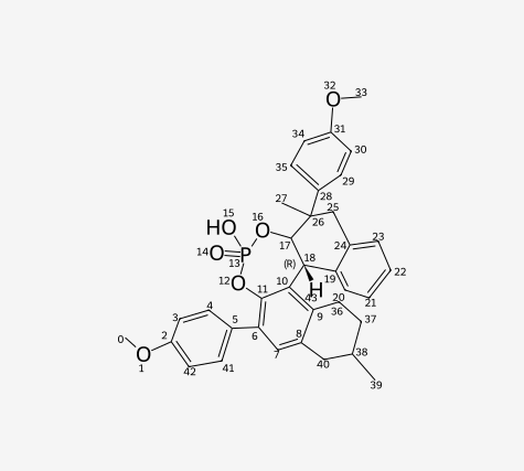 COc1ccc(-c2cc3c(c4c2OP(=O)(O)OC2[C@@H]4c4ccccc4CC2(C)c2ccc(OC)cc2)CCC(C)C3)cc1